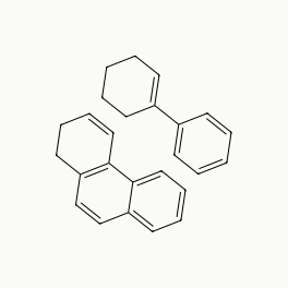 C1=C(c2ccccc2)CCCC1.C1=Cc2c(ccc3ccccc23)CC1